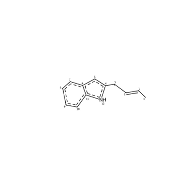 C/C=C/[CH]c1cc2ccccc2[nH]1